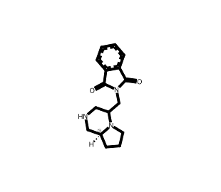 O=C1c2ccccc2C(=O)N1CC1CNC[C@@H]2CCCN12